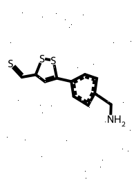 NCc1ccc(C2=CC(C=S)SS2)cc1